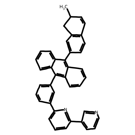 CC1C=Cc2ccc(-c3c4ccccc4c(-c4cccc(-c5cccc(-c6cccnc6)n5)c4)c4ccccc34)cc2C1